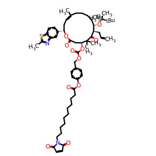 C=CC[C@H]1C(=O)C(C)(C)[C@@H](OC(=O)OCc2ccc(OC(=O)CCCCCCCCCCN3C(=O)C=CC3=O)cc2)CC(=O)O[C@H](c2ccc3sc(C)nc3c2)C/C=C(/C)CCC[C@H](C)[C@@H]1O[Si](C)(C)C(C)(C)C